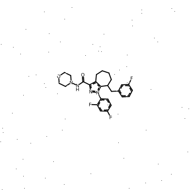 O=C(NN1CCOCC1)c1nn(-c2ccc(F)cc2F)c2c1CCCCC2Cc1cccc(F)c1